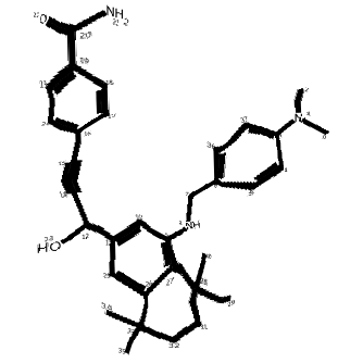 CN(C)c1ccc(CNc2cc(C(O)C#Cc3ccc(C(N)=O)cc3)cc3c2C(C)(C)CCC3(C)C)cc1